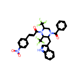 O=C(c1ccccc1)N1CC(C(F)(F)F)N(C(=O)C=Cc2ccc([N+](=O)[O-])cc2)C(C(F)(F)F)C1Cc1c[nH]c2ccccc12